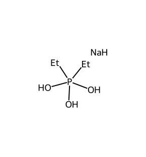 CCP(O)(O)(O)CC.[NaH]